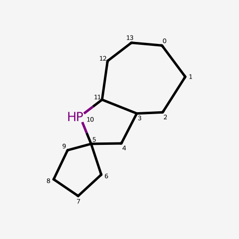 C1CCC2CC3(CCCC3)PC2CC1